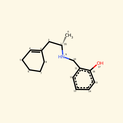 C[C@@H](CC1=CCCCC1)NCc1ccccc1O